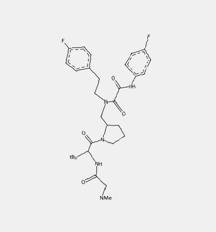 CNCC(=O)NC(C(=O)N1CCCC1CN(CCc1ccc(F)cc1)C(=O)C(=O)Nc1ccc(F)cc1)C(C)(C)C